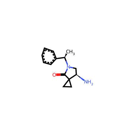 C[C@H](c1ccccc1)N1C[C@@H](N)C2(CC2)C1=O